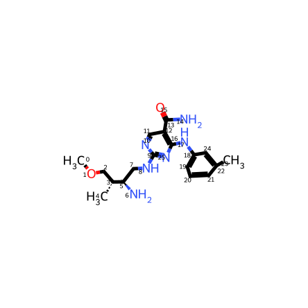 COC[C@@H](C)[C@H](N)CNc1ncc(C(N)=O)c(Nc2cccc(C)c2)n1